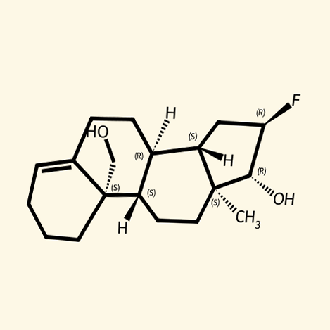 C[C@]12CC[C@H]3[C@@H](CCC4=CCCC[C@@]43CO)[C@@H]1C[C@@H](F)[C@@H]2O